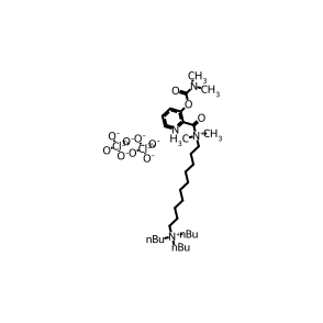 CCCC[N+](CCCC)(CCCC)CCCCCCCCCC[N+](C)(C)C(=O)c1ncccc1OC(=O)N(C)C.[O-][Cl+3]([O-])([O-])[O-].[O-][Cl+3]([O-])([O-])[O-]